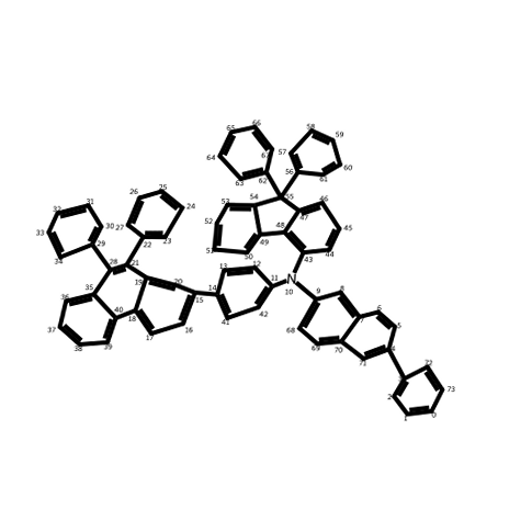 c1ccc(-c2ccc3cc(N(c4ccc(-c5ccc6c(c5)c(-c5ccccc5)c(-c5ccccc5)c5ccccc56)cc4)c4cccc5c4-c4ccccc4C5(c4ccccc4)c4ccccc4)ccc3c2)cc1